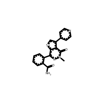 Cn1nc(-c2ccccc2C(N)=O)c2scc(-c3ccncc3)c2c1=O